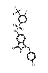 O=c1[nH]n(Cc2ccc(Cl)cc2)c2ccc(NS(=O)(=O)c3ccc(F)c(C(F)(F)F)c3)cc12